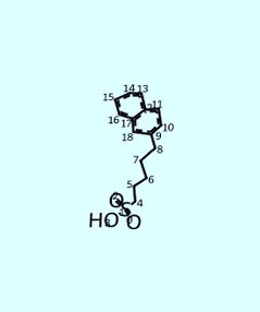 O=S(=O)(O)CCCCCc1ccc2ccccc2c1